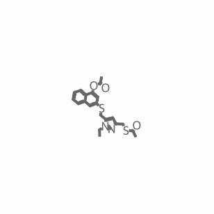 CCn1nc(CSC(C)=O)cc1CSc1cc(OC(C)=O)c2ccccc2c1